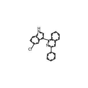 Clc1ccc2[nH]cc(-c3nc(-c4ccccc4)cc4ccccc34)c2c1